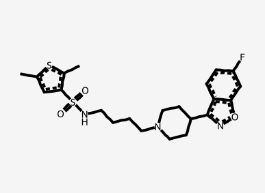 Cc1cc(S(=O)(=O)NCCCCN2CCC(c3noc4cc(F)ccc34)CC2)c(C)s1